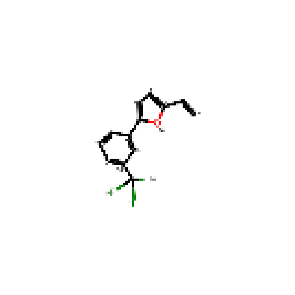 [CH]=Cc1ccc(-c2cccc(C(F)(F)F)c2)o1